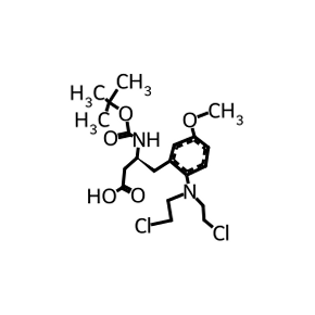 COc1ccc(N(CCCl)CCCl)c(C[C@@H](CC(=O)O)NC(=O)OC(C)(C)C)c1